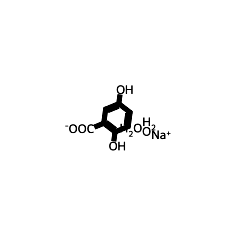 O.O.O=C([O-])c1cc(O)ccc1O.[Na+]